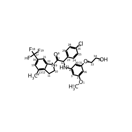 COc1cc(N[C@@H](C(=O)N2CCc3c(C)cc(C(F)(F)F)cc32)c2ccc(Cl)cc2)cc(OCCO)c1